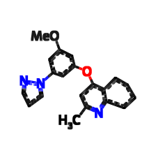 COc1cc(Oc2cc(C)nc3ccccc23)cc(-n2cccn2)c1